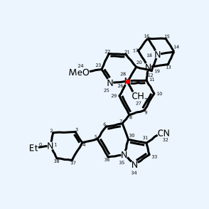 CCN1CC=C(c2cc(-c3ccc(N4CC5CC(C4)N5CC4C=CC(OC)=NC4C)nc3)c3c(C#N)cnn3c2)CC1